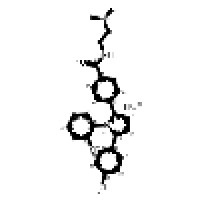 CN(C)CCNC(=O)c1ccc(-c2ccc(-c3ccc(Cl)cc3)n2-c2ccccc2C(F)(F)F)cc1.Cl